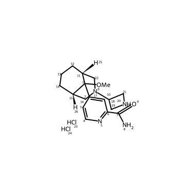 COC1(c2ccnc(C(N)=O)c2)[C@@H]2CCC[C@H]1CN(C1CNC1)C2.Cl.Cl